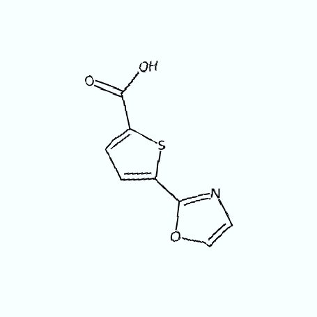 O=C(O)c1ccc(-c2ncco2)s1